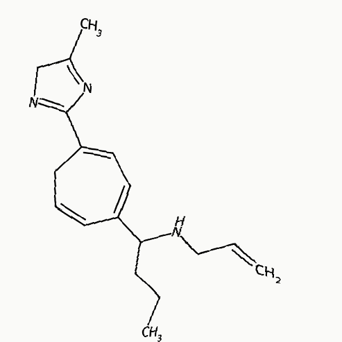 C=CCNC(CCC)C1=CC=C(C2=NCC(C)=N2)CC=C1